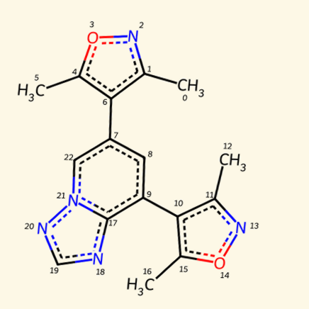 Cc1noc(C)c1-c1cc(-c2c(C)noc2C)c2ncnn2c1